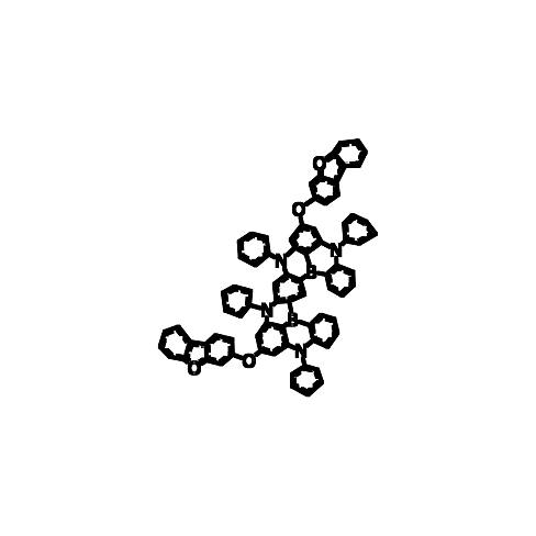 c1ccc(N2c3ccccc3B3c4cc5c(cc4N(c4ccccc4)c4cc(Oc6ccc7c(c6)oc6ccccc67)cc2c43)N(c2ccccc2)c2cc(Oc3ccc4c(c3)oc3ccccc34)cc3c2B5c2ccccc2N3c2ccccc2)cc1